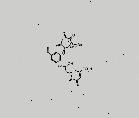 C=C(C)C(=O)OC.C=C(C=C(C)C(=O)O)C(=O)OCC(O)CC.C=CC(=O)OCCCC.C=Cc1ccccc1